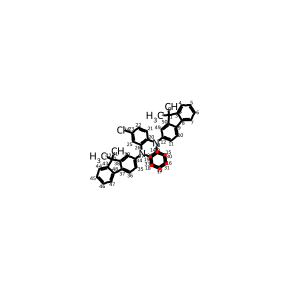 CC1(C)c2ccccc2-c2ccc(N(c3ccccc3)c3ccc(Cl)cc3N(c3ccccc3)c3ccc4c(c3)C(C)(C)c3ccccc3-4)cc21